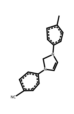 Cc1ccc(N2C=CN(c3ccc(C#N)cc3)C2)cc1